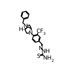 NC(=S)N/N=C/c1ccc(N2C[C@@H]3CC2CN3Cc2ccccc2)c(C(F)(F)F)c1